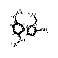 CCn1nccc1N.CNc1ccc(OC)cc1